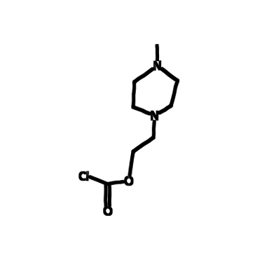 CN1CCN(CCOC(=O)Cl)CC1